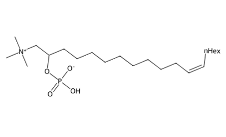 CCCCCC/C=C\CCCCCCCCCC(C[N+](C)(C)C)OP(=O)([O-])O